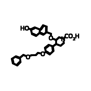 O=C(O)N1CCC(c2ccc(OCCCOCc3ccccc3)cc2)C(OCc2ccc3cc(O)ccc3c2)C1